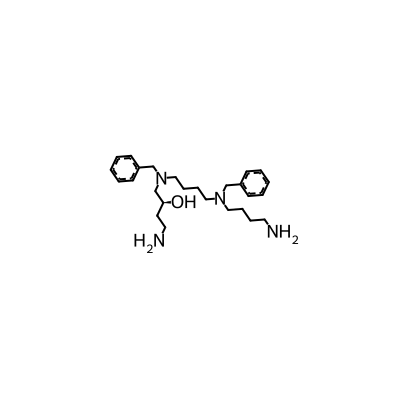 NCCCCN(CCCCN(Cc1ccccc1)C[C@@H](O)CCN)Cc1ccccc1